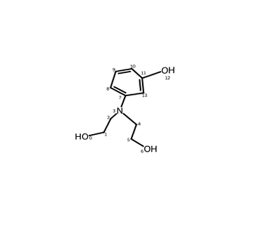 OCCN(CCO)c1cccc(O)c1